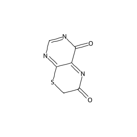 O=C1CSC2=NC=NC(=O)C2=N1